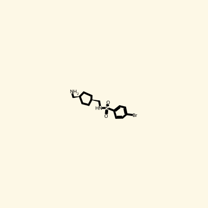 NC[C@H]1CC[C@@H](CNS(=O)(=O)c2ccc(Br)cc2)CC1